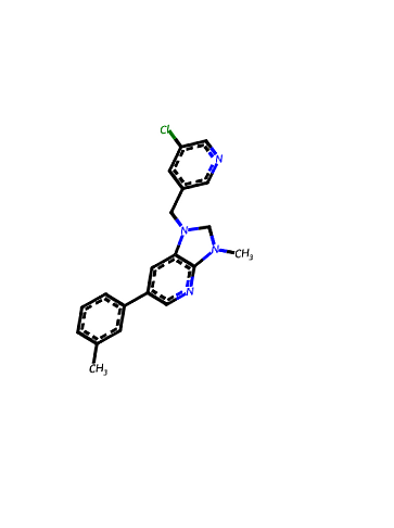 Cc1cccc(-c2cnc3c(c2)N(Cc2cncc(Cl)c2)CN3C)c1